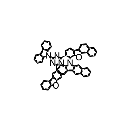 c1ccc2cc3c(cc2c1)c1ccccc1n3-c1c(-c2nc(-c3ccc4oc5ccccc5c4c3)nc(-n3c4ccccc4c4ccccc43)n2)ccc2c1oc1c3ccccc3ccc21